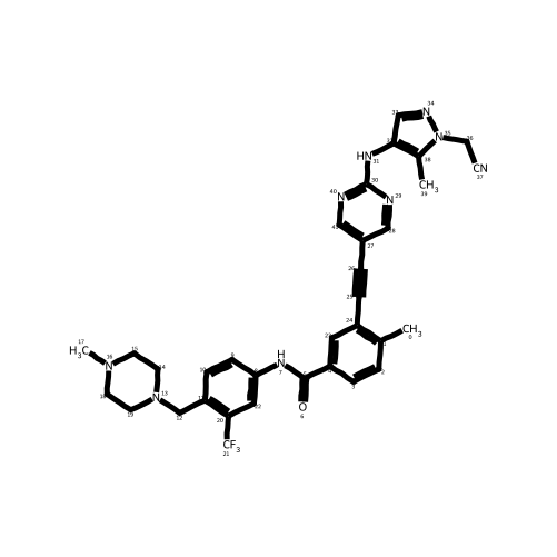 Cc1ccc(C(=O)Nc2ccc(CN3CCN(C)CC3)c(C(F)(F)F)c2)cc1C#Cc1cnc(Nc2cnn(CC#N)c2C)nc1